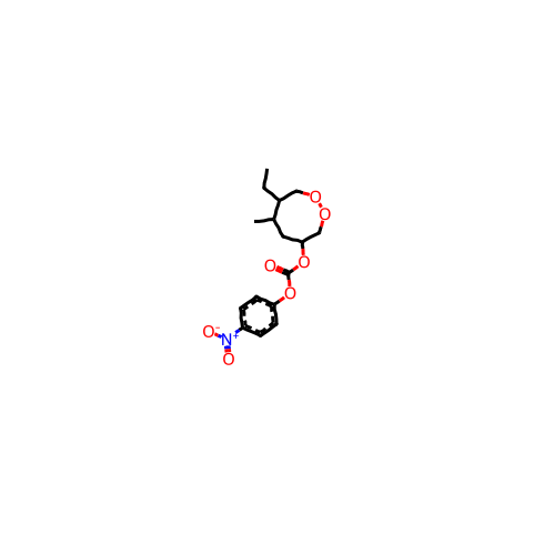 CCC1COOCC(OC(=O)Oc2ccc([N+](=O)[O-])cc2)CC1C